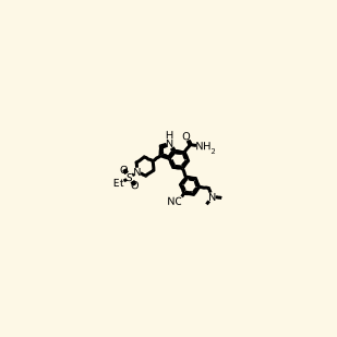 CCS(=O)(=O)N1CCC(c2c[nH]c3c(C(N)=O)cc(-c4cc(C#N)cc(CN(C)C)c4)cc23)CC1